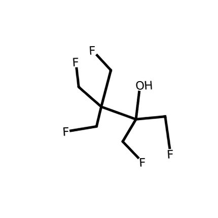 OC(CF)(CF)C(CF)(CF)CF